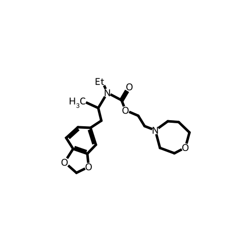 CCN(C(=O)OCCN1CCCOCC1)C(C)Cc1ccc2c(c1)OCO2